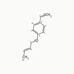 C=Cc1ccc(OCC=CC)cc1